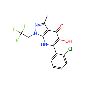 Cc1nn(CC(F)(F)F)c2[nH]c(-c3ccccc3Cl)c(O)c(=O)c12